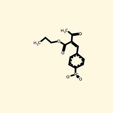 CCCOC(=O)/C(=C\c1ccc([N+](=O)[O-])cc1)C(C)=O